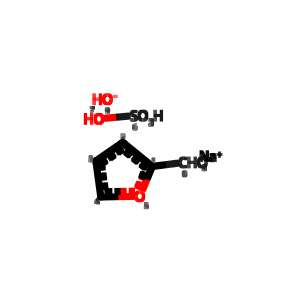 O=Cc1ccco1.O=S(=O)(O)O.[Na+].[OH-]